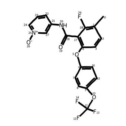 Cc1ccc(Oc2ccc(OC(F)(F)F)cc2)c(C(=O)Nc2ccc[n+]([O-])c2)c1F